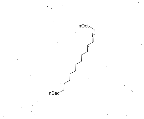 CCCCCCCCC=C=CCCCCCCCCCCCCCCCCCCCC